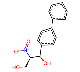 O=[N+]([O-])[C@H](CO)[C@H](O)c1ccc(-c2ccccc2)cc1